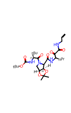 C=CCNC(=O)C(=O)C(CCC)NC(=O)C1[C@H]2OC(C)(C)O[C@H]2CN1C(=O)[C@@H](NC(=O)OC(C)(C)C)C(C)(C)C